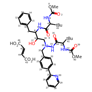 COC(=O)NC(C(=O)NC(Cc1ccccc1)C(O)CN(Cc1ccc(-c2ccccn2)cc1)NC(=O)C(NC(=O)OC)C(C)(C)C)C(C)(C)C.O=C(O)/C=C/C(=O)O